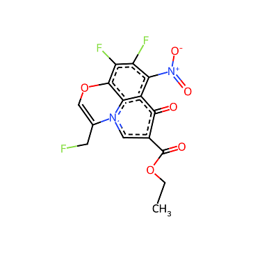 CCOC(=O)c1cn2c3c(c(F)c(F)c([N+](=O)[O-])c3c1=O)OC=C2CF